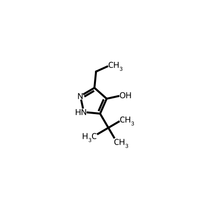 CCc1n[nH]c(C(C)(C)C)c1O